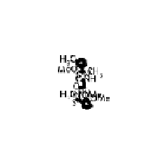 COc1cccc(C(=S)N(C)NC(=O)CC(=O)NN(C)C(=S)c2cccc(C)c2OC)c1OC